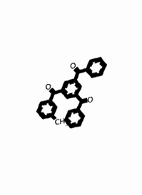 Cc1cccc(C(=O)c2cc(C(=O)c3ccccc3)cc(C(=O)c3ccccc3)c2)c1